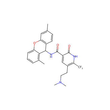 Cc1ccc2c(c1)Oc1cccc(C)c1C2NC(=O)c1cc(CCN(C)C)c(C(F)(F)F)[nH]c1=O